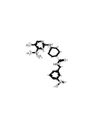 Cc1cnc(N[C@H]2CC[C@@H](C(=O)NCc3cccc([N+](=O)[O-])c3)CC2)nc1N(C)C